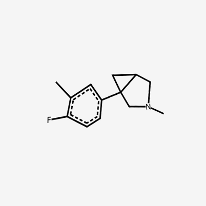 Cc1cc(C23CC2CN(C)C3)ccc1F